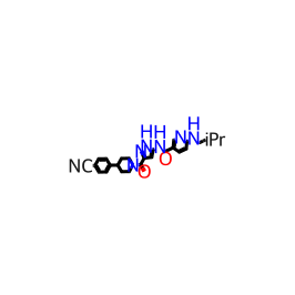 CC(C)CNc1ccc(C(=O)Nc2cc(C(=O)N3CCC(c4ccc(C#N)cc4)CC3)n[nH]2)cn1